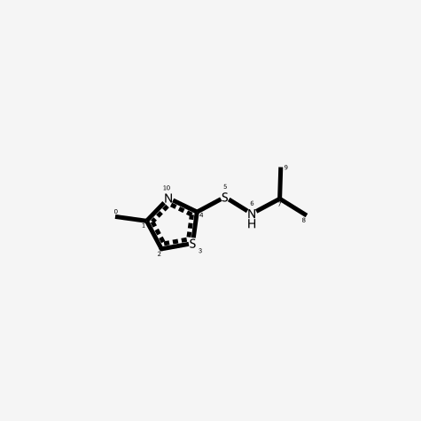 Cc1csc(SNC(C)C)n1